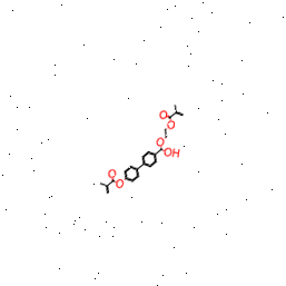 C=C(C)C(=O)OCCOC(O)c1ccc(-c2ccc(OC(=O)C(=C)C)cc2)cc1